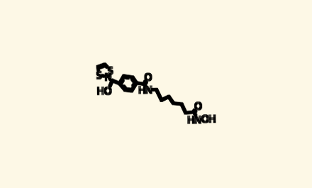 O=C(CCCCCCNC(=O)c1ccc(C(O)N2SC=CS2)cc1)NO